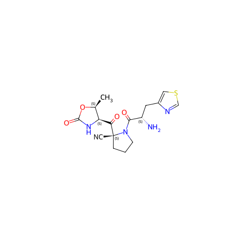 C[C@@H]1OC(=O)N[C@@H]1C(=O)[C@@]1(C#N)CCCN1C(=O)[C@@H](N)Cc1cscn1